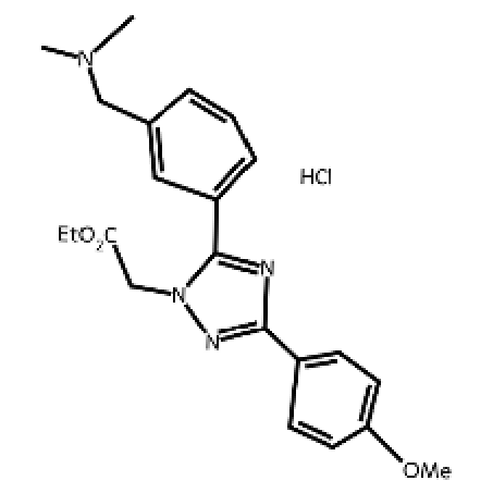 CCOC(=O)Cn1nc(-c2ccc(OC)cc2)nc1-c1cccc(CN(C)C)c1.Cl